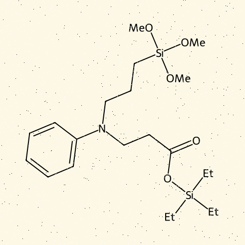 CC[Si](CC)(CC)OC(=O)CCN(CCC[Si](OC)(OC)OC)c1ccccc1